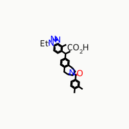 CCn1nnc2c(C)c(C(CC(=O)O)c3ccc4c(c3)C3CCC(C4)N3C(=O)c3ccc(C)c(C)c3)ccc21